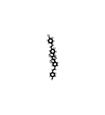 Cc1ccc(C=Cc2ccc3c(c2)sc2c3sc3c4ccc(C=Cc5ccc(C)cc5)cc4sc32)cc1